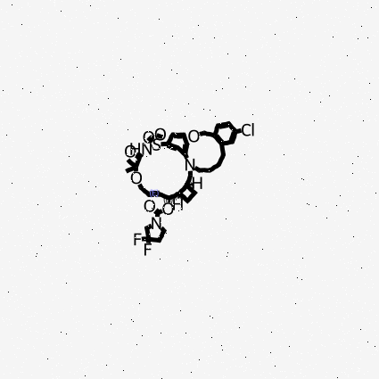 CC1(C)OC/C=C/[C@H](OC(=O)N2CCC(F)(F)C2)[C@@H]2CC[C@H]2CN2CCCCc3cc(Cl)ccc3COc3ccc(cc32)S(=O)(=O)NC1=O